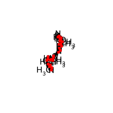 Cc1ncsc1-c1ccc(CNC(=O)C2CCCN2C(=O)C(NC(=O)COCCCCN2CCN(c3ccc(N4C(=S)N(c5ccc(C#N)c(C(F)(F)F)c5F)C(=O)C4(C)C)cn3)CC2)C(C)(C)C)cc1